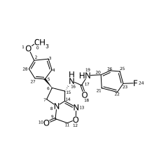 COc1ccc([C@@H]2CN3C(=O)CON=C3[C@H]2NC(=O)Nc2ccc(F)cc2)cc1